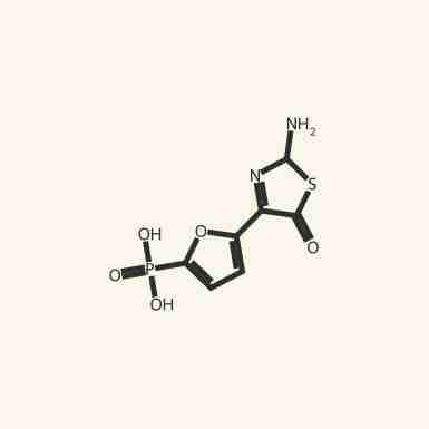 NC1N=C(c2ccc(P(=O)(O)O)o2)C(=O)S1